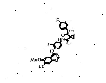 CCc1cc2ncnc(Oc3ccc(NC(=O)C4(C(=O)Nc5ccc(F)cc5)CC4)cc3F)c2cc1OC